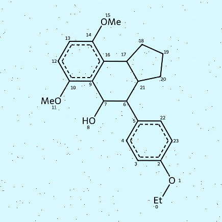 CCOc1ccc(C2C(O)c3c(OC)ccc(OC)c3C3CCCC32)cc1